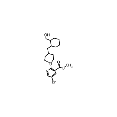 COC(=O)c1cc(Br)cnc1N1CCC(CC2CCCCC2CO)CC1